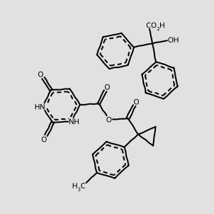 Cc1ccc(C2(C(=O)OC(=O)c3cc(=O)[nH]c(=O)[nH]3)CC2)cc1.O=C(O)C(O)(c1ccccc1)c1ccccc1